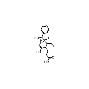 CCC(C(CCC(=O)O)C(=O)O)P(=O)(O)C(O)c1ccccc1